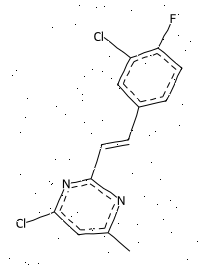 Cc1cc(Cl)nc(C=Cc2ccc(F)c(Cl)c2)n1